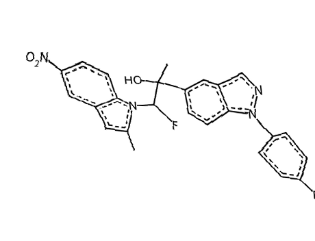 Cc1cc2cc([N+](=O)[O-])ccc2n1C(F)C(C)(O)c1ccc2c(cnn2-c2ccc(F)cc2)c1